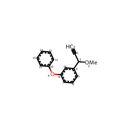 C#CC(OC)c1cccc(Oc2ccccc2)c1